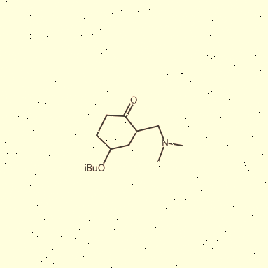 CC(C)COC1CCC(=O)C(CN(C)C)C1